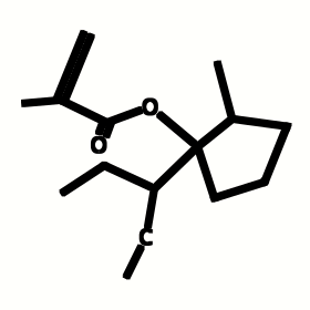 C=C(C)C(=O)OC1(C(CC)CC)CCCC1C